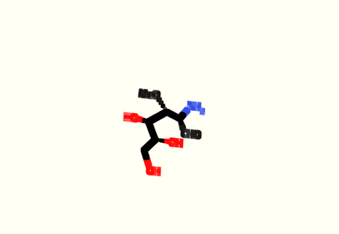 CO[C@@H]([C@H](O)[C@H](O)CO)[C@@H](N)C=O